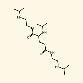 CC(C)NCCNC(=O)CCC(NC(C)C)C(=O)NCCNC(C)C